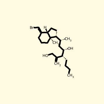 C=C(CO)[C@@H](CCCC)[C@@H](O)C[C@@H](C)[C@H]1CC[C@H]2/C(=C/Br)CCC[C@]12C